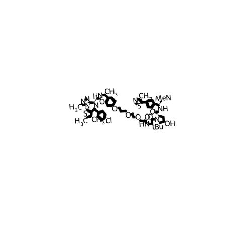 CNC[C@H](NC(=O)[C@@H]1C[C@@H](O)CN1C(=O)[C@@H](NC(=O)COCCOCCCOc1ccc([C@H](C)NC(=O)C[C@@H]2N=C(c3ccc(Cl)cc3)c3c(sc(C)c3C)-n3c(C)nnc32)cc1)C(C)(C)C)c1ccc(-c2scnc2C)cc1